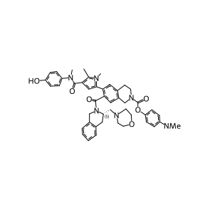 CNc1ccc(OC(=O)N2CCc3cc(-c4cc(C(=O)N(C)c5ccc(O)cc5)c(C)n4C)c(C(=O)N4Cc5ccccc5C[C@H]4CN4CCOCC4)cc3C2)cc1